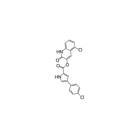 O=C(Oc1cc2c(Cl)cccc2[nH]c1=O)c1cc(-c2ccc(Cl)cc2)c[nH]1